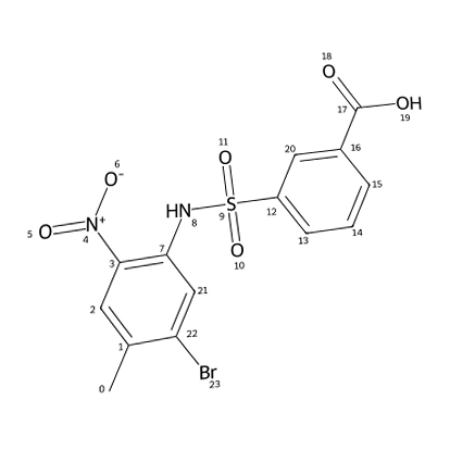 Cc1cc([N+](=O)[O-])c(NS(=O)(=O)c2cccc(C(=O)O)c2)cc1Br